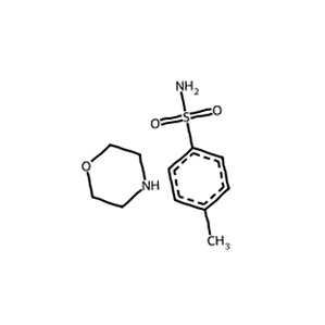 C1COCCN1.Cc1ccc(S(N)(=O)=O)cc1